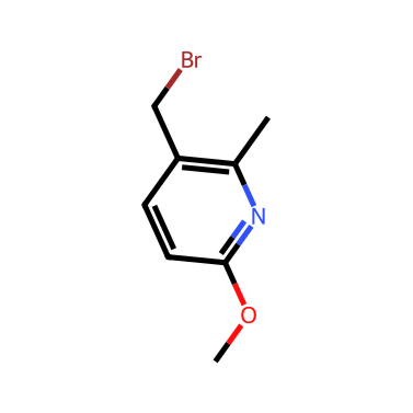 COc1ccc(CBr)c(C)n1